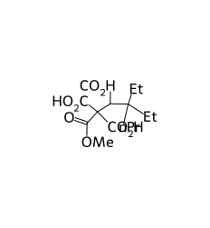 CCCC(CC)(CC)C(C(=O)O)C(C(=O)O)(C(=O)O)C(=O)OC